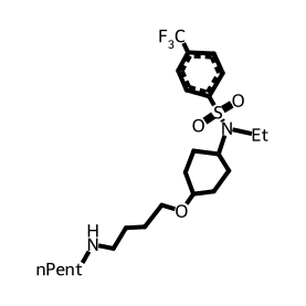 CCCCCNCCCCOC1CCC(N(CC)S(=O)(=O)c2ccc(C(F)(F)F)cc2)CC1